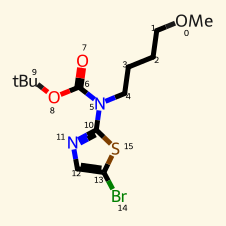 COCCCCN(C(=O)OC(C)(C)C)c1ncc(Br)s1